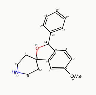 COc1ccc2c(c1)C1(CCNCC1)OC2c1ccccc1